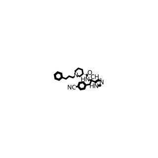 CC(Cc1ccc(C#N)cc1)(NC(=O)[C@H]1CCCN(CCCc2ccccc2)C1)c1cnc[nH]1